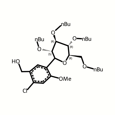 CCCCOC[C@H]1OC(c2cc(CO)c(Cl)cc2OC)[C@H](OCCCC)[C@@H](OCCCC)[C@@H]1OCCCC